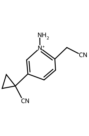 N#CCc1ccc(C2(C#N)CC2)c[n+]1N